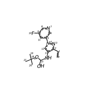 C=Cc1nn(-c2cncc(F)c2)cc1NC(O)OC(C)(C)C